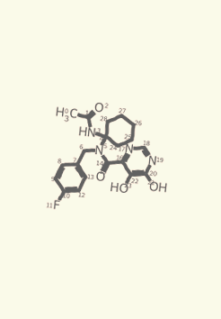 CC(=O)NC1(N(Cc2ccc(F)cc2)C(=O)c2ncnc(O)c2O)CCCCC1